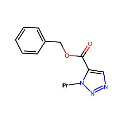 CC(C)n1nncc1C(=O)OCc1ccccc1